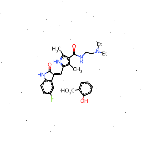 CCN(CC)CCNC(=O)c1c(C)[nH]c(C=C2C(=O)Nc3ccc(F)cc32)c1C.O=C(O)c1ccccc1O